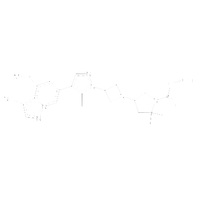 COc1cc(-c2cnn(C3CN(C4CN(C(=O)OC(C)(C)C)C(C)(C)C4)C3)c2C)cn2ncc(C#N)c12